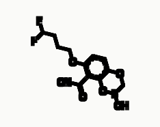 O=NC(=O)c1c(OCCCC(F)F)ccc2c1OB(O)CO2